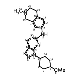 COC1CCC(n2ncc3cnc(Nc4ccc5c(c4)CN(C)CC5)nc32)CC1